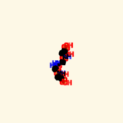 O=C(Nc1cccc(S(=O)(=O)Nc2cccc3cc(S(=O)(=O)O)cc(O)c23)c1)Nc1cccc(S(=O)(=O)Nc2cccc3cc(S(=O)(=O)O)cc(O)c23)c1